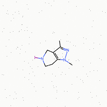 Cc1nn(C)c2c1CN(I)CC2